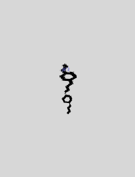 C/C=C/C1CCC(CCCC[C@H]2CC[C@H](CCCC)CC2)CC1